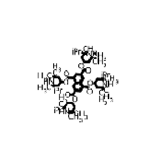 CC(C)C1(C)CC(OC(=O)c2cc(C(=O)OC3CC(C)(C)NC(C)(C(C)C)C3)c3cc(C(=O)OC4CC(C)(C)NC(C)(C(C)C)C4)cc(C(=O)OC4CC(C)(C)NC(C)(C(C)C)C4)c3c2)CC(C)(C)N1